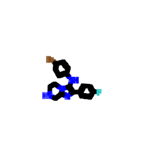 Fc1ccc(-c2nc3n(c2Nc2ccc(Br)cc2)CCNC3)cc1